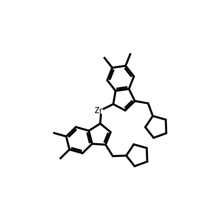 Cc1cc2c(cc1C)[CH]([Zr][CH]1C=C(CC3CCCC3)c3cc(C)c(C)cc31)C=C2CC1CCCC1